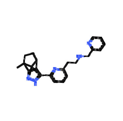 CC12CCC(c3c1n[nH]c3-c1cccc(CCNCc3ccccn3)n1)C2(C)C